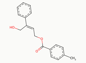 Cc1ccc(C(=O)OCC=C(CO)c2ccccc2)cc1